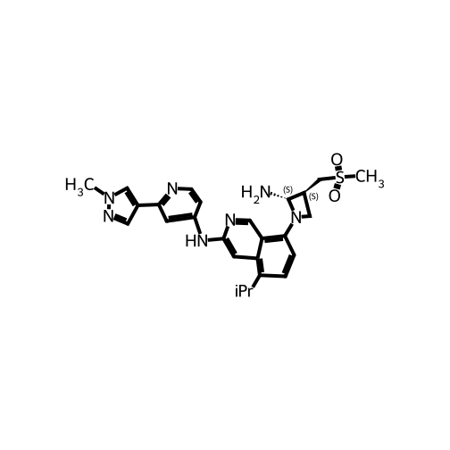 CC(C)c1ccc(N2C[C@H](CS(C)(=O)=O)[C@H]2N)c2cnc(Nc3ccnc(-c4cnn(C)c4)c3)cc12